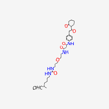 CC(C=O)CCCCNC(=O)NCCCOCCNC(=O)CC(=O)Nc1ccc(CC(=O)C2CCCCC2=O)cc1